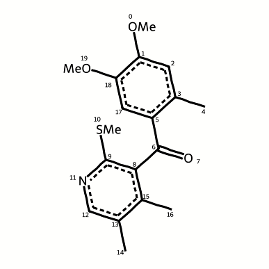 COc1cc(C)c(C(=O)c2c(SC)ncc(C)c2C)cc1OC